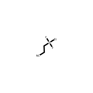 CC[Si](F)(F)CCC#N